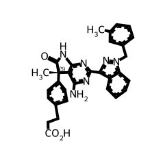 Cc1cccc(Cn2nc(-c3nc(N)c4c(n3)NC(=O)[C@@]4(C)c3ccc(CCC(=O)O)cc3)c3ccccc32)c1